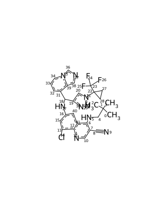 CC(C)(C)CNc1c(C#N)cnc2c(Cl)cc(NC(c3cn(C4(C(F)(F)F)CC4)nn3)c3cccn4cncc34)cc12